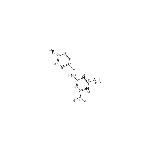 CC(C)c1cc(NCc2ccc(F)cc2)nc(N)n1